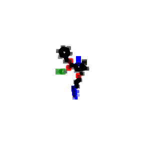 Cl.[N-]=[N+]=NCCCOC[C@]12C[C@@H](C(=O)OCc3ccccc3)N[C@H]1C2